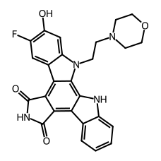 O=C1NC(=O)c2c1c1c3ccccc3[nH]c1c1c2c2cc(F)c(O)cc2n1CCN1CCOCC1